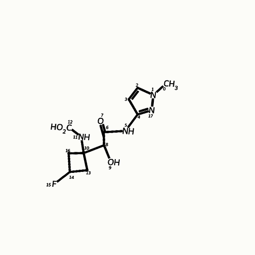 Cn1ccc(NC(=O)C(O)C2(NC(=O)O)CC(F)C2)n1